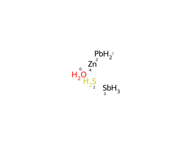 O.S.[PbH2].[SbH3].[Zn]